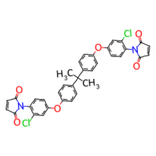 CC(C)(c1ccc(Oc2ccc(N3C(=O)C=CC3=O)c(Cl)c2)cc1)c1ccc(Oc2ccc(N3C(=O)C=CC3=O)c(Cl)c2)cc1